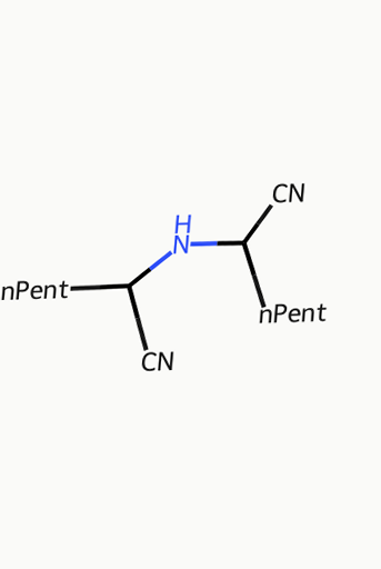 CCCCCC(C#N)NC(C#N)CCCCC